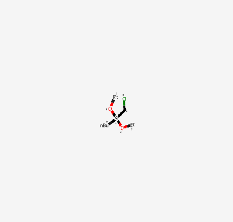 CCCC[Si](CCl)(OCC)OCC